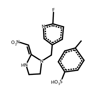 Cc1ccc(S(=O)(=O)O)cc1.O=[N+]([O-])C=C1NCCN1Cc1ccc(F)nc1